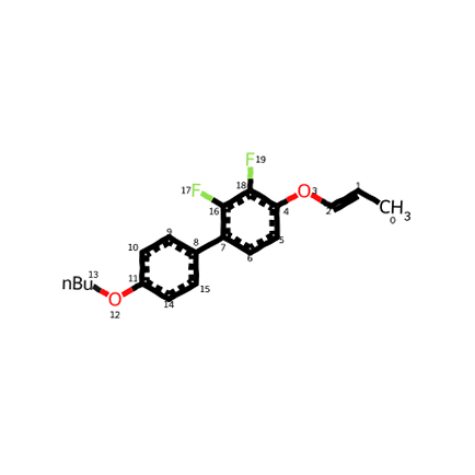 C/C=C/Oc1ccc(-c2ccc(OCCCC)cc2)c(F)c1F